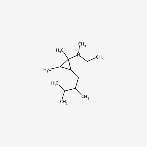 CCN(C)C1(C)C(C)C1CC(C)C(C)C